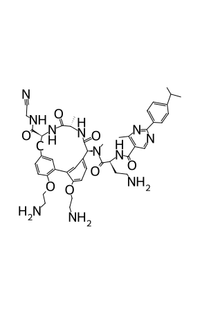 Cc1nc(-c2ccc(C(C)C)cc2)ncc1C(=O)N[C@@H](CCN)C(=O)N(C)[C@@H]1C(=O)N[C@@H](C)C(=O)N[C@H](C(=O)NCC#N)Cc2ccc(OCCN)c(c2)-c2cc1ccc2OCCN